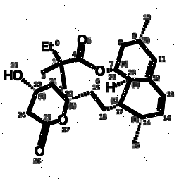 CCC(C)(C)C(=O)O[C@@H]1C[C@H](C)C=C2C=C[C@H](C)[C@H](CC[C@H]3C[C@@H](O)CC(=O)O3)[C@H]21